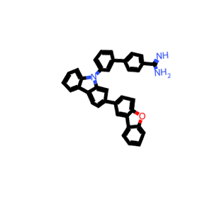 N=C(N)c1ccc(-c2cccc(-n3c4ccccc4c4ccc(-c5ccc6oc7ccccc7c6c5)cc43)c2)cc1